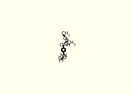 C=CCO/N=C(/C)CNC(=O)c1ccc(-c2noc(C(F)(F)F)n2)cc1